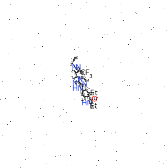 C#CCn1cc(-c2cnc3c(Nc4ccc(C(=O)NCC)c(CC)c4)nccn23)c(C(F)(F)F)n1